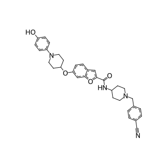 N#Cc1ccc(CN2CCC(NC(=O)c3cc4ccc(OC5CCN(c6ccc(O)cc6)CC5)cc4o3)CC2)cc1